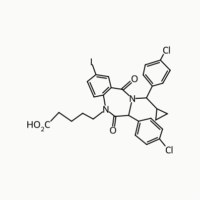 O=C(O)CCCCN1C(=O)C(c2ccc(Cl)cc2)N(C(c2ccc(Cl)cc2)C2CC2)C(=O)c2cc(I)ccc21